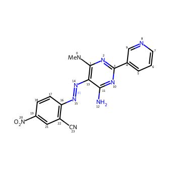 CNc1nc(-c2cccnc2)nc(N)c1/N=N/c1ccc([N+](=O)[O-])cc1C#N